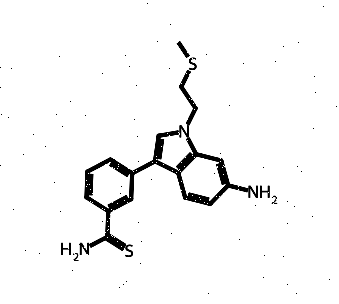 CSCCn1cc(-c2cccc(C(N)=S)c2)c2ccc(N)cc21